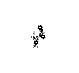 N.O=[N+]([O-])c1ccc(OP(=O)(O)CNCc2ccccc2S(=O)(=O)c2cc3ccccc3s2)cc1